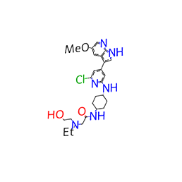 CCN(CCO)CC(=O)N[C@H]1CC[C@H](Nc2cc(-c3c[nH]c4ncc(OC)cc34)cc(Cl)n2)CC1